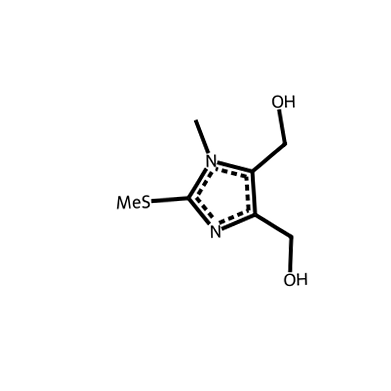 CSc1nc(CO)c(CO)n1C